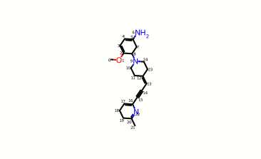 COC1=CC=C(N)CC1N1CCC(=CC#CC2=CCCC(C)=N2)CC1